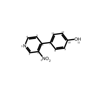 O=[N+]([O-])c1cnccc1-c1ccc(O)cc1